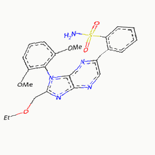 CCOCc1nc2ncc(-c3ccccc3S(N)(=O)=O)nc2n1-c1c(OC)cccc1OC